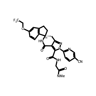 CNC(=O)CNC(=O)c1c2c(nn1-c1ccc(C#N)cn1)C[C@]1(CCc3cc(OCC(F)(F)F)ccc31)NC2=O